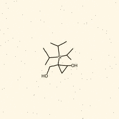 CC(C)[Si](C(C)C)(C(C)C)C1(CO)CC1O